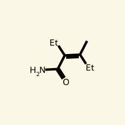 CCC(C)=C(CC)C(N)=O